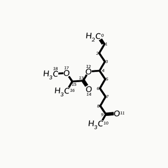 C=CCCC(CCCCC(C)=O)OC(=O)C(C)OC